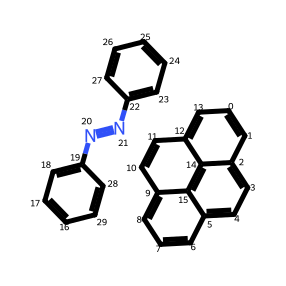 c1cc2ccc3cccc4ccc(c1)c2c34.c1ccc(N=Nc2ccccc2)cc1